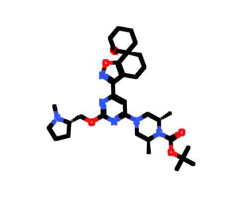 C[C@H]1CN(c2cc(-c3noc4c3CCC[C@@]43CCCCC34OCCO4)nc(OC[C@@H]3CCCN3C)n2)C[C@H](C)N1C(=O)OC(C)(C)C